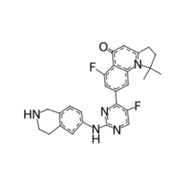 CC1(C)CCc2cc(=O)c3c(F)cc(-c4nc(Nc5ccc6c(c5)CCNC6)ncc4F)cc3n21